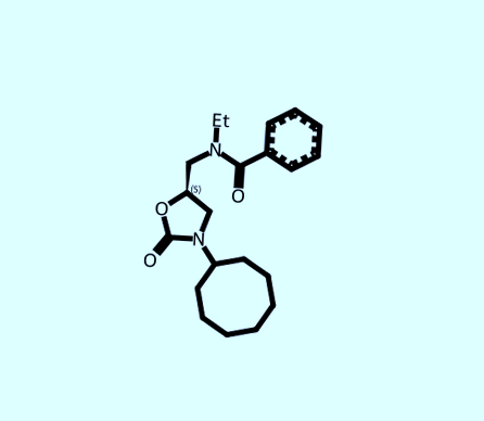 CCN(C[C@H]1CN(C2CCCCCCC2)C(=O)O1)C(=O)c1ccccc1